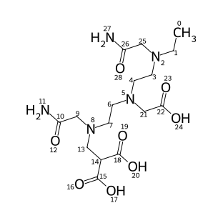 CCN(CCN(CCN(CC(N)=O)CC(C(=O)O)C(=O)O)CC(=O)O)CC(N)=O